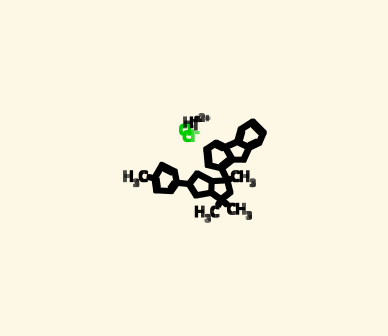 Cc1ccc(C2CC3C(C2)C(C)(c2cccc4c2Cc2ccccc2-4)CC3(C)C)cc1.[Cl-].[Cl-].[Hf+2]